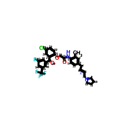 Cc1cc(C/C=C/CN2CCCC2)ccc1NC(=O)COc1ccc(Cl)cc1C(=O)c1cc(F)cc(C(F)(F)F)c1